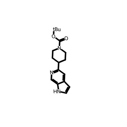 CC(C)(C)OC(=O)N1CCC(c2cc3cc[nH]c3cn2)CC1